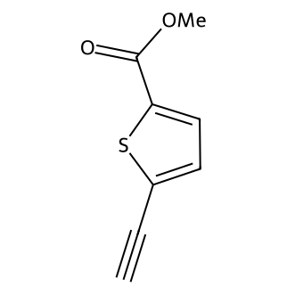 C#Cc1ccc(C(=O)OC)s1